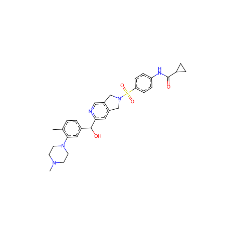 Cc1ccc(C(O)c2cc3c(cn2)CN(S(=O)(=O)c2ccc(NC(=O)C4CC4)cc2)C3)cc1N1CCN(C)CC1